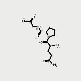 NC(=O)CC[C@H](N)C(=O)N1CCC[C@H]1C(=O)NCC(N)=O